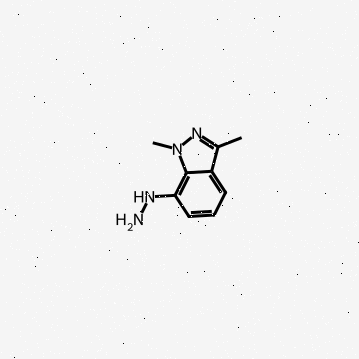 Cc1nn(C)c2c(NN)cccc12